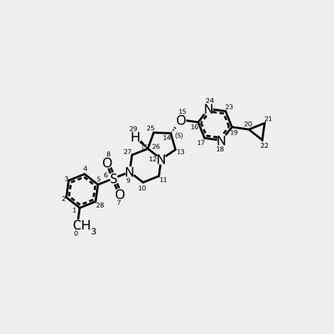 Cc1cccc(S(=O)(=O)N2CCN3C[C@@H](Oc4cnc(C5CC5)cn4)C[C@H]3C2)c1